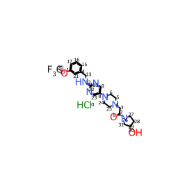 Cl.O=C(CN1CCN(c2cnc(NCc3cccc(OC(F)(F)F)c3)nc2)CC1)N1CCC(O)C1